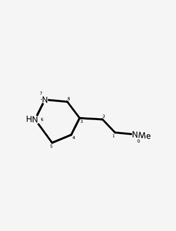 CNCCC1CCN[N]C1